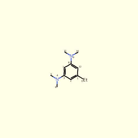 [CH2]Cc1cc(N(C)C)cc(N(C)C)c1